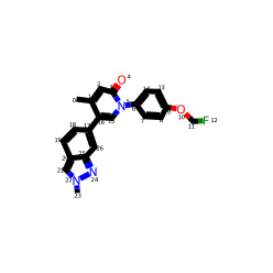 Cc1cc(=O)n(-c2ccc(OCF)cc2)cc1-c1ccc2cn(C)nc2c1